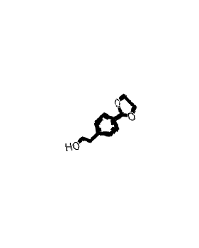 OCCc1ccc(C2OCCO2)cc1